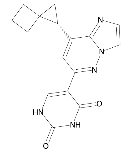 O=c1[nH]cc(-c2cc([C@H]3CC34CCC4)c3nccn3n2)c(=O)[nH]1